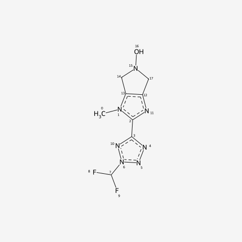 Cn1c(-c2nnn(C(F)F)n2)nc2c1CN(O)C2